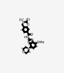 CCC(=O)N(CC)Cc1ccc(C(=O)Nc2nc3c(OC)ccc(N4CCOCC4)c3s2)cc1